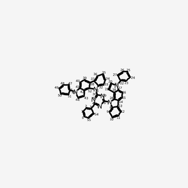 c1ccc(-c2nc(-n3c4ccccc4c4ccc5c(ccn5-c5ccccc5)c43)nc(-n3c4ccccc4c4ccc5c(ccn5-c5ccccc5)c43)n2)cc1